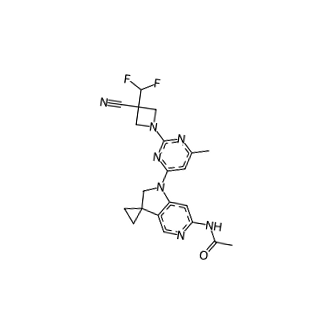 CC(=O)Nc1cc2c(cn1)C1(CC1)CN2c1cc(C)nc(N2CC(C#N)(C(F)F)C2)n1